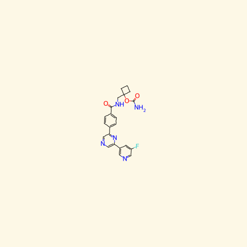 NC(=O)OC1(CNC(=O)c2ccc(-c3cncc(-c4cncc(F)c4)n3)cc2)CCC1